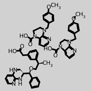 COc1ccc(CN2CCN(C(=O)O)c3cccnc32)cc1.COc1ccc(CN2CCN(C(=O)O)c3cccnc32)cc1.C[C@@H](CO[C@@H](c1ccccc1)[C@H]1CNc2cccnc2N1)c1cccc(CC(=O)O)c1